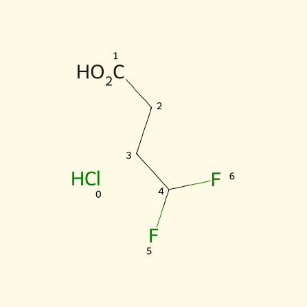 Cl.O=C(O)CCC(F)F